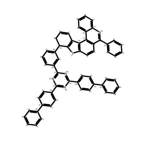 C1=Cc2c(sc3ccc4c(-c5ccccc5)nc5ccccc5c4c23)C(c2cccc(-c3nc(-c4ccc(-c5ccccc5)cc4)nc(-c4ccc(-c5ccccc5)cc4)n3)c2)C1